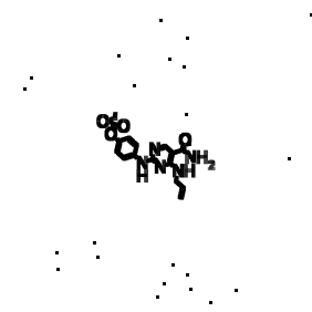 C=CCNc1nc(Nc2ccc(OS(C)(=O)=O)cc2)ncc1C(N)=O